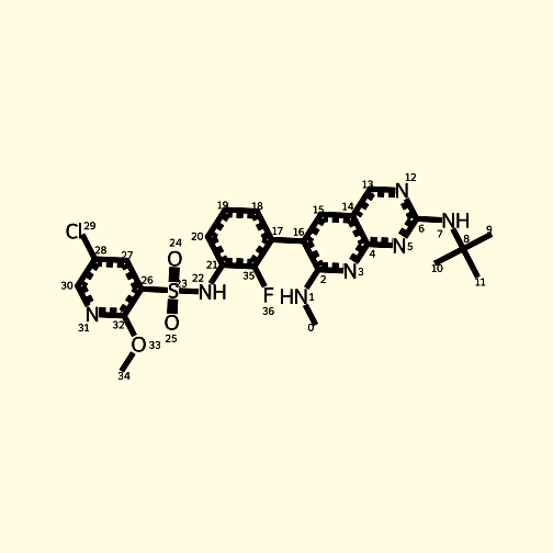 CNc1nc2nc(NC(C)(C)C)ncc2cc1-c1cccc(NS(=O)(=O)c2cc(Cl)cnc2OC)c1F